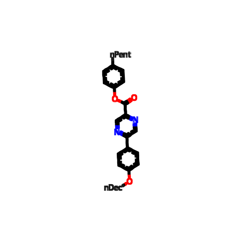 CCCCCCCCCCOc1ccc(-c2cnc(C(=O)Oc3ccc(CCCCC)cc3)cn2)cc1